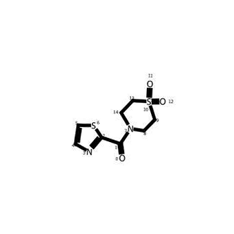 O=C(c1n[c]cs1)N1CCS(=O)(=O)CC1